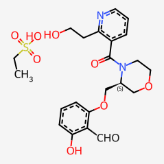 CCS(=O)(=O)O.O=Cc1c(O)cccc1OC[C@@H]1COCCN1C(=O)c1cccnc1CCO